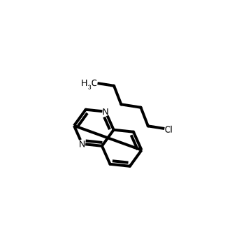 CCCCCCl.c1cc2nc3cnc2cc13